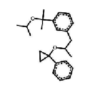 CC(C)OC(C)(C)c1cccc(CC(C)OC2(c3ccccc3)CC2)c1